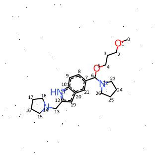 COCCCOC(c1ccc2[nH]c(CN3CCCC3)cc2c1)N1CCCC1